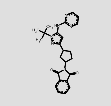 CC(C)(C)n1nc(C2CCC(N3C(=O)c4ccccc4C3=O)C2)cc1Nc1ncccn1